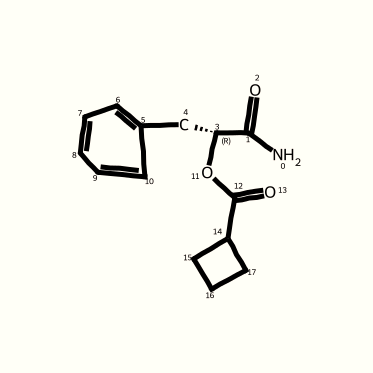 NC(=O)[C@@H](Cc1ccccc1)OC(=O)C1CCC1